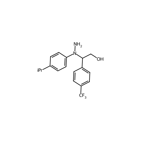 CC(C)c1ccc(N(N)C(CO)c2ccc(C(F)(F)F)cc2)cc1